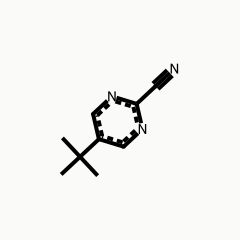 CC(C)(C)c1cnc(C#N)nc1